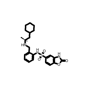 C[C@@H](CC1CCCCC1)NCc1ccccc1NS(=O)(=O)c1ccc2oc(=O)[nH]c2c1